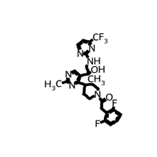 Cc1ncc(C(C)(O)CNc2nccc(C(F)(F)F)n2)c(C2CCN(C(=O)Cc3c(F)cccc3F)CC2)n1